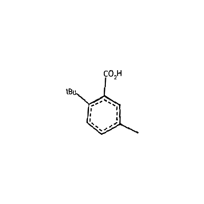 Cc1ccc(C(C)(C)C)c(C(=O)O)c1